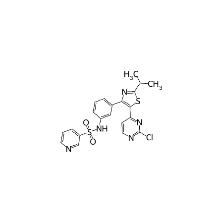 CC(C)c1nc(-c2cccc(NS(=O)(=O)c3cccnc3)c2)c(-c2ccnc(Cl)n2)s1